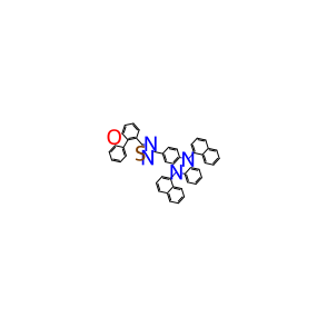 c1ccc2c(c1)N(c1cccc3ccccc13)c1ccc(-c3nsc(-c4cccc5oc6ccccc6c45)n3)cc1N2c1cccc2ccccc12